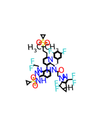 CC(C)(CCc1ccc(-c2cccc3c(NS(=O)(=O)C4CC4)nn(CC(F)F)c23)c([C@H](Cc2cc(F)cc(F)c2)NC(=O)Cn2nc(C(F)F)c3c2C(F)(F)C2C[C@H]32)n1)S(=O)(=O)C1CC1